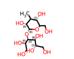 CC1[C@H](O)C(CO)O[C@H](O[C@@H]([C@H](O)[C@@H](O)CO)[C@H](O)CO)[C@@H]1O